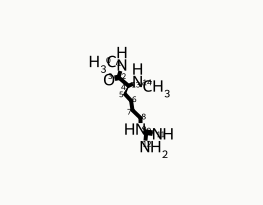 CNC(=O)[C@H](CCCCNC(=N)N)NC